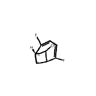 CC1C2C[C@@H]1C(F)=CC=C2F